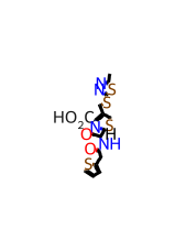 Cc1nnc(SCC2=C(C(=O)O)N3C(=O)[C@@H](NC(=O)Cc4cccs4)[C@@H]3SC2)s1